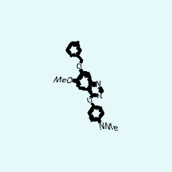 CNc1ccc(Oc2ncnc3cc(OCc4ccccc4)c(OC)cc23)cc1